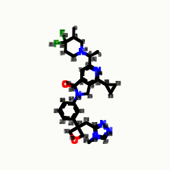 CC1CN([C@@H](C)c2cc3c(c(C4CC4)n2)CN(c2cccc(C4(Cc5nncn5C)COC4)c2)C3=O)CCC1(F)F